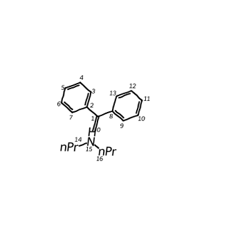 C=C(c1ccccc1)c1ccccc1.CCCNCCC